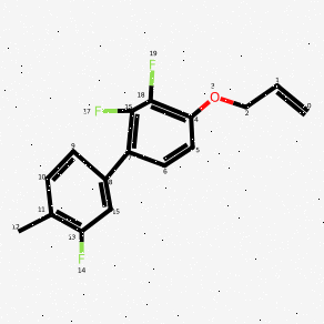 C=CCOc1ccc(-c2ccc(C)c(F)c2)c(F)c1F